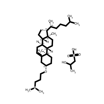 CC(C)CCC[C@@H](C)[C@H]1CC[C@H]2[C@@H]3CC=C4C[C@@H](OCCCN(C)C)CC[C@]4(C)[C@H]3CC[C@]12C.CC(O)CS(=O)(=O)O